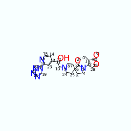 CC1=C(N2CCC3(CCN(CC(O)c4ccnc(-n5cnnn5)c4)CC3)C2=O)COC1=O